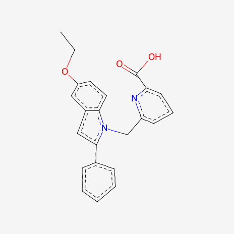 CCOc1ccc2c(c1)cc(-c1ccccc1)n2Cc1cccc(C(=O)O)n1